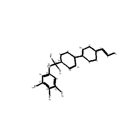 C/C=C/C1CCC(C2CCC(C(F)(F)Oc3cc(F)c(F)c(F)c3)CC2)CC1